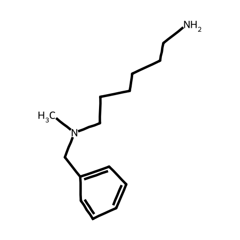 CN(CCCCCCN)Cc1ccccc1